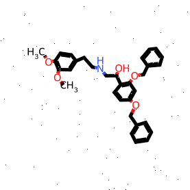 COc1ccc(CCNCC(O)c2ccc(OCc3ccccc3)cc2OCc2ccccc2)cc1OC